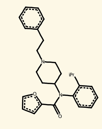 CC(C)c1ccccc1N(C(=O)c1ccco1)C1CCN(CCc2ccccc2)CC1